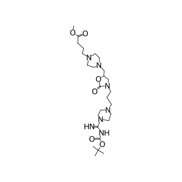 COC(=O)CCCN1CCN(CC2CN(CCCN3CCN(C(=N)NC(=O)OC(C)(C)C)CC3)C(=O)O2)CC1